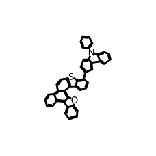 c1ccc(-n2c3ccccc3c3cc(-c4cccc5c4sc4ccc6c7ccccc7c7c8ccccc8oc7c6c45)ccc32)cc1